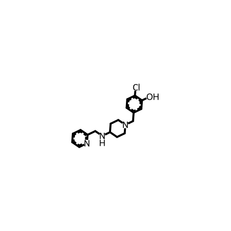 Oc1cc(CN2CCC(NCc3ccccn3)CC2)ccc1Cl